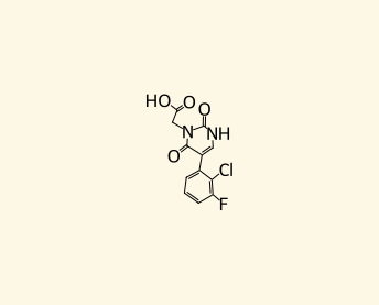 O=C(O)Cn1c(=O)[nH]cc(-c2cccc(F)c2Cl)c1=O